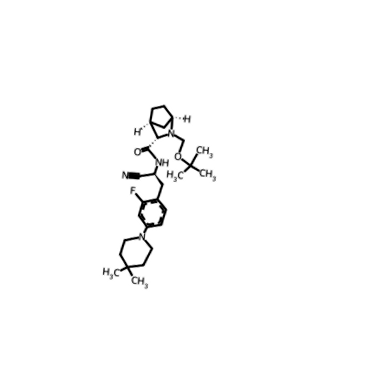 CC1(C)CCN(c2ccc(C[C@@H](C#N)NC(=O)[C@@H]3[C@H]4CC[C@H](C4)N3COC(C)(C)C)c(F)c2)CC1